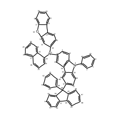 c1ccc(-n2c3ccc(N(c4ccc5c(c4)oc4ccccc45)c4cccc5ccccc45)cc3c3cc(C4(c5ccccc5)c5ccccc5-c5ccccc54)ccc32)cc1